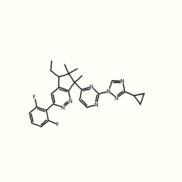 CCC1c2cc(-c3c(F)cccc3F)nnc2C(C)(c2ccnc(-n3cnc(C4CC4)n3)n2)C1(C)C